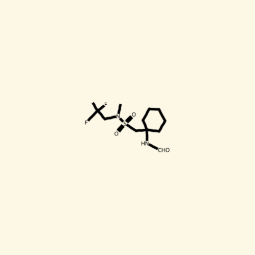 CN(CC(C)(F)F)S(=O)(=O)CC1(NC=O)CCCCC1